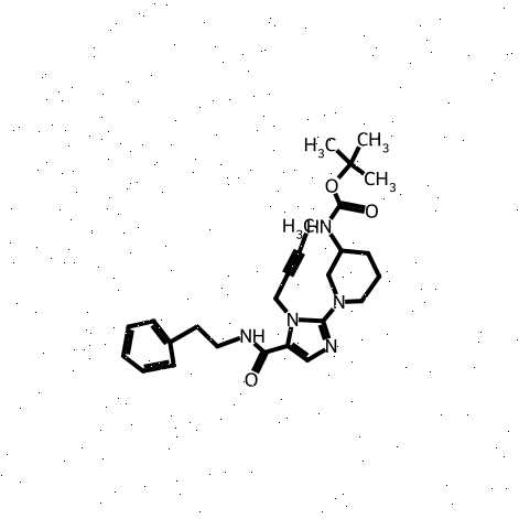 CC#CCn1c(C(=O)NCCc2ccccc2)cnc1N1CCCC(NC(=O)OC(C)(C)C)C1